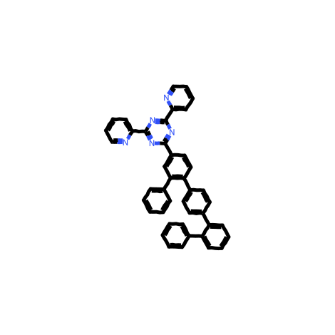 c1ccc(-c2ccccc2-c2ccc(-c3ccc(-c4nc(-c5ccccn5)nc(-c5ccccn5)n4)cc3-c3ccccc3)cc2)cc1